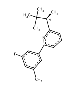 Cc1cc(F)cc(-c2cccc([C@H](C)C(C)(C)C)n2)c1